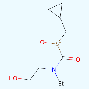 CCN(CCO)C(=O)[S+]([O-])CC1CC1